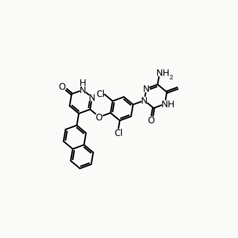 C=C1NC(=O)N(c2cc(Cl)c(Oc3n[nH]c(=O)cc3-c3ccc4ccccc4c3)c(Cl)c2)N=C1N